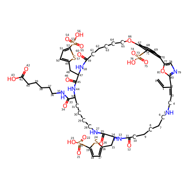 C=C/C1=C\CNCCCCCC(=O)NC(Cc2ccc(S(=O)(=O)O)s2)C(=O)NCCCCC(C(=O)NCCCCCC(=O)O)NC(=O)C(Cc2ccc(S(=O)(=O)O)s2)NC(=O)CCCCCOc2ccc(cc2S(=O)(=O)O)-c2cnc1o2